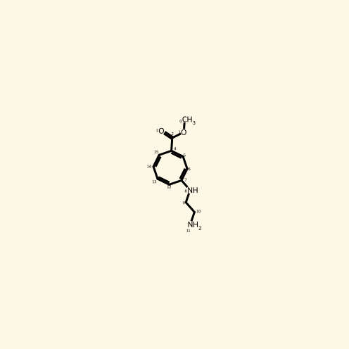 COC(=O)C1=C/C=C(NCCN)\C=C/C=C\1